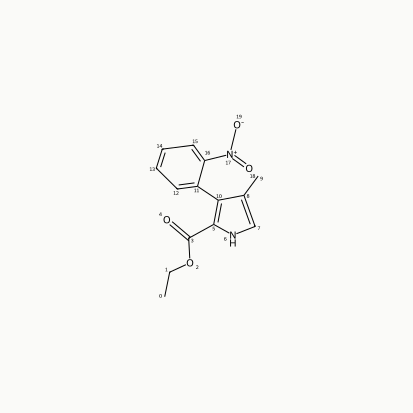 CCOC(=O)c1[nH]cc(C)c1-c1ccccc1[N+](=O)[O-]